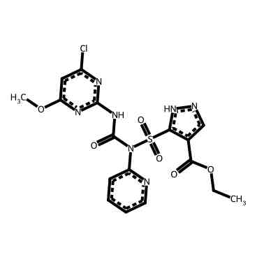 CCOC(=O)c1cn[nH]c1S(=O)(=O)N(C(=O)Nc1nc(Cl)cc(OC)n1)c1ccccn1